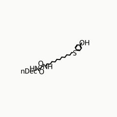 CCCCCCCCCCNC(=O)C(=O)NCCCCCCCCCCCSc1ccc(O)cc1